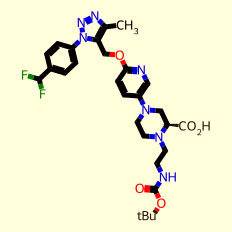 Cc1nnn(-c2ccc(C(F)F)cc2)c1COc1ccc(N2CCN(CCNC(=O)OC(C)(C)C)[C@H](C(=O)O)C2)cn1